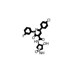 N=S1(=O)C[C@H](O)[C@H](NC(=O)c2cc(-c3ccc(Cl)cc3)nn(-c3cccc(F)c3)c2=O)C1